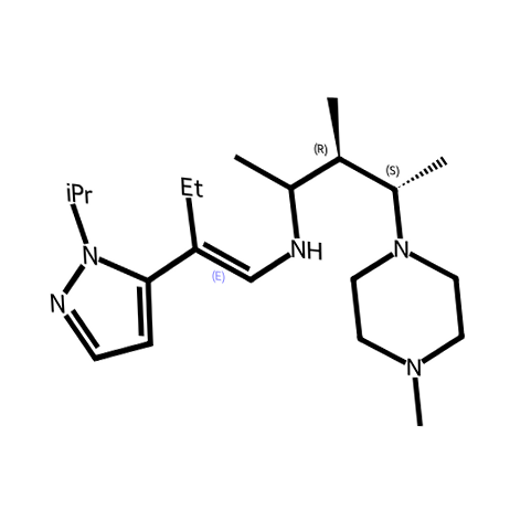 CC/C(=C\NC(C)[C@@H](C)[C@H](C)N1CCN(C)CC1)c1ccnn1C(C)C